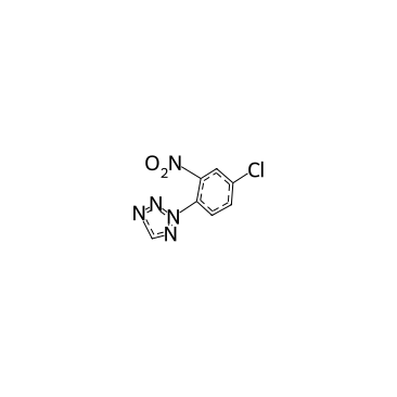 O=[N+]([O-])c1cc(Cl)ccc1-n1ncnn1